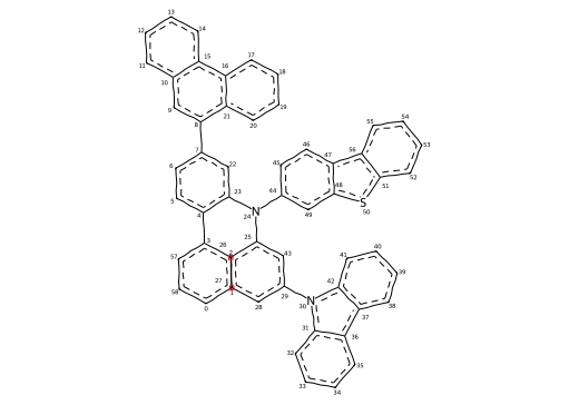 c1ccc(-c2ccc(-c3cc4ccccc4c4ccccc34)cc2N(c2cccc(-n3c4ccccc4c4ccccc43)c2)c2ccc3c(c2)sc2ccccc23)cc1